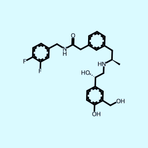 C[C@H](Cc1cccc(CC(=O)NCc2ccc(F)c(F)c2)c1)NC[C@@H](O)c1ccc(O)c(CO)c1